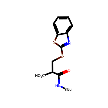 CCCCNC(=O)C(CSc1nc2ccccc2s1)C(=O)O